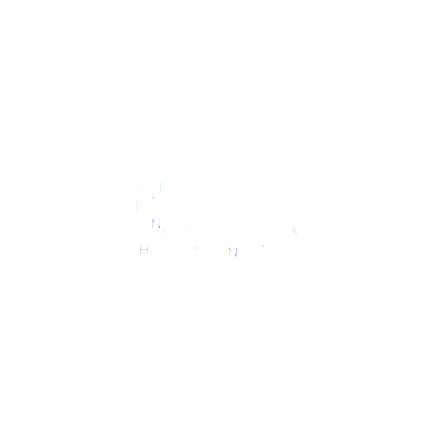 Cc1nc(C(F)(F)F)ccc1OCCN1CCC2(CC1)CS(=O)(=O)C2